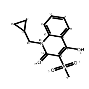 CS(=O)(=O)c1c(O)c2ccccc2n(CC2CC2)c1=O